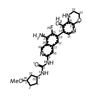 CO[C@@H]1CC[C@H](NC(=O)Nc2cc3cc(-c4cnc5c(c4C)NCCO5)c(F)c(N)c3cn2)C1